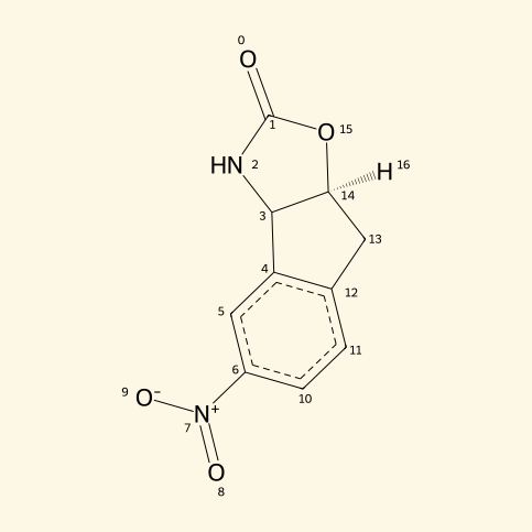 O=C1NC2c3cc([N+](=O)[O-])ccc3C[C@@H]2O1